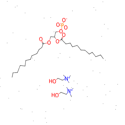 CCCCCCCCCCCC(=O)OCC(COP(=O)([O-])[O-])OC(=O)CCCCCCCCCCC.C[N+](C)(C)CCO.C[N+](C)(C)CCO